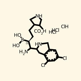 Cl.Cl.Cl.NC(C1Cc2c(Cl)cc(Cl)cc2CN1)[C@H](CCC1CNCC1C(=O)O)B(O)O